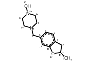 C[C@@H]1Cc2ccc(CN3CCN(O)CC3)cc2O1